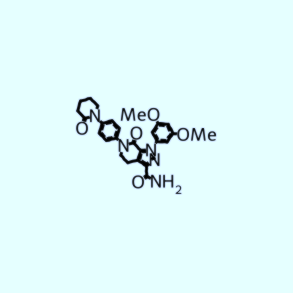 COc1cc(OC)cc(-n2nc(C(N)=O)c3c2C(=O)N(c2ccc(N4CCCCC4=O)cc2)CC3)c1